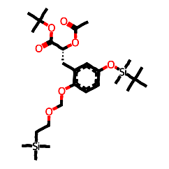 CC(=O)O[C@H](Cc1cc(O[Si](C)(C)C(C)(C)C)ccc1OCOCC[Si](C)(C)C)C(=O)OC(C)(C)C